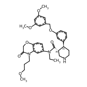 CCN(C(=O)[C@H]1CNCC[C@@H]1c1cccc(OCc2cc(OC)cc(OC)c2)c1)c1ccc2c(c1)N(CCCOC)C(=O)CO2